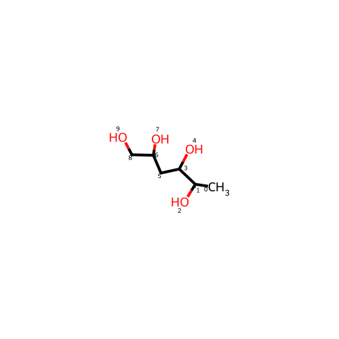 C[C](O)C(O)CC(O)CO